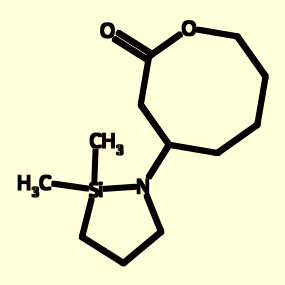 C[Si]1(C)CCCN1C1CCCCOC(=O)C1